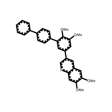 COc1cc2cc(-c3cc(OC)c(OC)c(-c4ccc(-c5ccccc5)cc4)c3)cnc2cc1OC